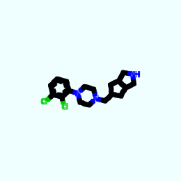 Clc1cccc(N2CCN(CC3CC4CNCC4C3)CC2)c1Cl